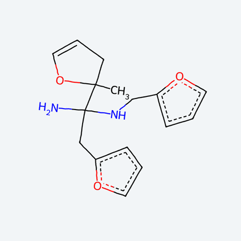 CC1(C(N)(Cc2ccco2)NCc2ccco2)CC=CO1